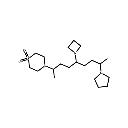 CC(CCC(CCC(C)N1CCS(=O)(=O)CC1)N1CCC1)N1CCCC1